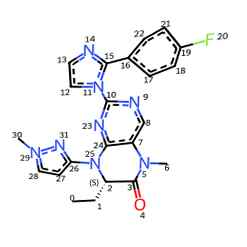 CC[C@H]1C(=O)N(C)c2cnc(-n3ccnc3-c3ccc(F)cc3)nc2N1c1ccn(C)n1